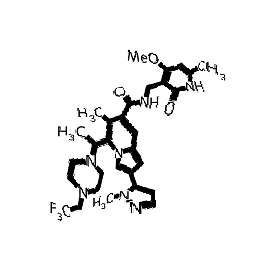 COc1cc(C)[nH]c(=O)c1CNC(=O)c1cc2cc(-c3ccnn3C)cn2c(C(C)N2CCN(CC(F)(F)F)CC2)c1C